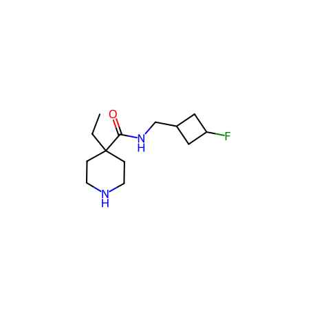 CCC1(C(=O)NCC2CC(F)C2)CCNCC1